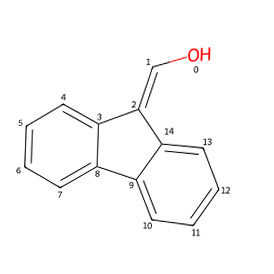 OC=C1c2ccccc2-c2ccccc21